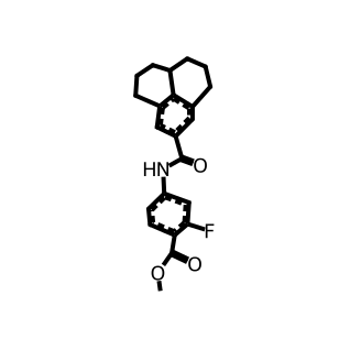 COC(=O)c1ccc(NC(=O)c2cc3c4c(c2)CCCC4CCC3)cc1F